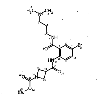 CN(C)CCCNC(=O)c1cc(Br)ccc1NC(=O)C1CN(C(=O)OC(C)(C)C)C1